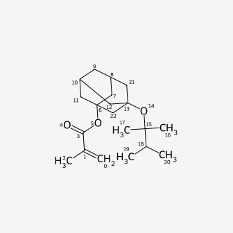 C=C(C)C(=O)OC12CC3CC(C1)CC(OC(C)(C)C(C)C)(C3)C2